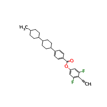 C#Cc1c(F)cc(OC(=O)c2ccc(C3CCC(C4CCC(C)CC4)CC3)cc2)cc1F